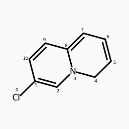 ClC1=CN2CC=CC=C2C=C1